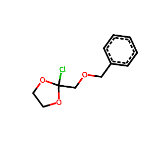 ClC1(COCc2ccccc2)OCCO1